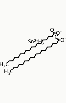 CCCCCCCCCCCCCCCCCC(=O)[O-].CCCCCCCCCCCCCCCCCC(=O)[O-].[SnH2+2]